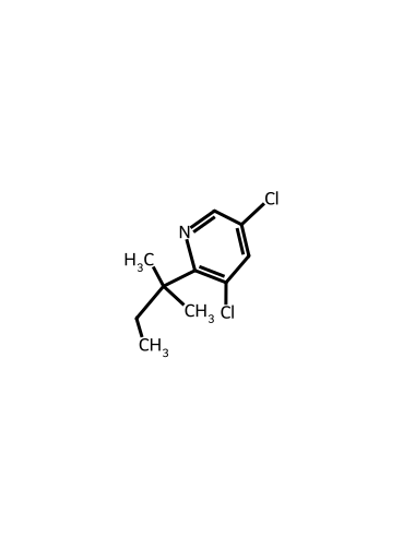 CCC(C)(C)c1ncc(Cl)cc1Cl